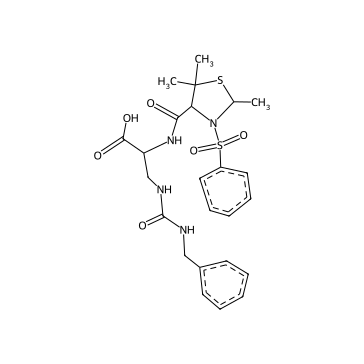 CC1SC(C)(C)C(C(=O)NC(CNC(=O)NCc2ccccc2)C(=O)O)N1S(=O)(=O)c1ccccc1